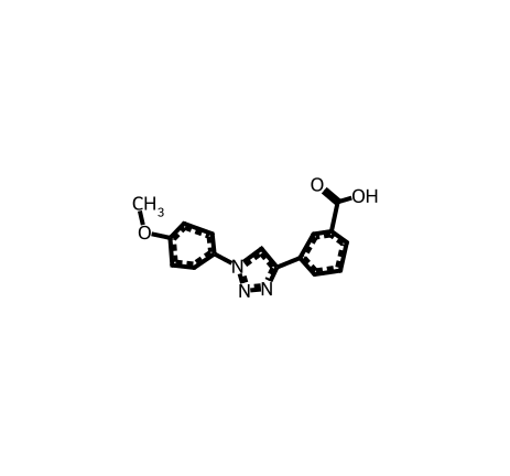 COc1ccc(-n2cc(-c3cccc(C(=O)O)c3)nn2)cc1